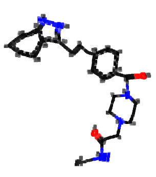 CC(C)NC(=O)CN1CCN(C(=O)c2ccc(C=Cc3n[nH]c4ccccc34)cc2)CC1